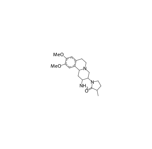 COc1cc2c(cc1OC)C1CC(N)C(N3CCC(C)C3=O)CN1CC2